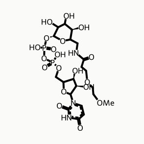 COCCOCCC(=O)NCC1O[C@H](OP(=O)(O)OP(=O)(O)OCC2OC(n3ccc(=O)[nH]c3=O)[C@H](O)[C@@H]2O)C(O)C(O)[C@H]1O